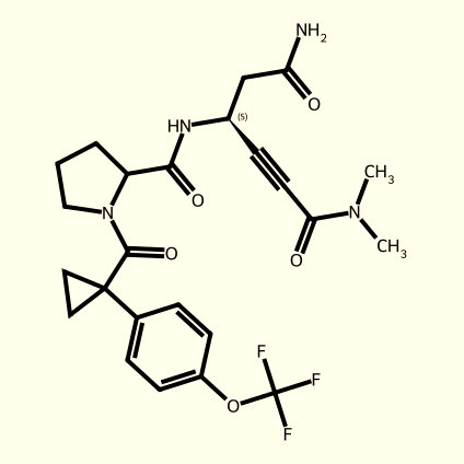 CN(C)C(=O)C#C[C@H](CC(N)=O)NC(=O)C1CCCN1C(=O)C1(c2ccc(OC(F)(F)F)cc2)CC1